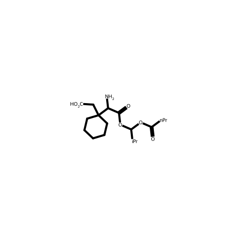 CCCC(=O)OC(OC(=O)C(N)C1(CC(=O)O)CCCCC1)C(C)C